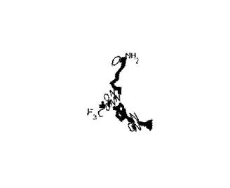 CC(C)(OC(=O)N(CC12CCC(c3nc(C4CC4)no3)=C(C1)C2)c1nccc(CCCCC(N)=O)n1)C(F)(F)F